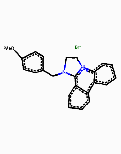 COc1ccc(CN2CC[n+]3c2c2ccccc2c2ccccc23)cc1.[Br-]